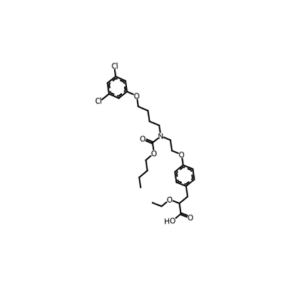 CCCCOC(=O)N(CCCCOc1cc(Cl)cc(Cl)c1)CCOc1ccc(CC(OCC)C(=O)O)cc1